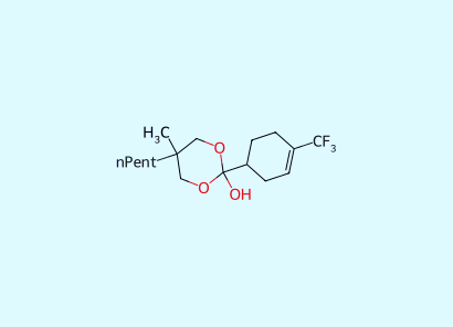 CCCCCC1(C)COC(O)(C2CC=C(C(F)(F)F)CC2)OC1